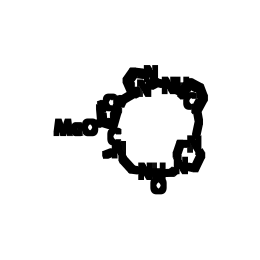 COc1ccc2cc1CN(C)CCNC(=O)CN1CCN(CC1)Cc1cccc(c1)Nc1nccc-2n1